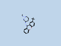 CCN1CCCC(NC2c3ccccc3Oc3ccc(C(C)(C)C)cc32)C1